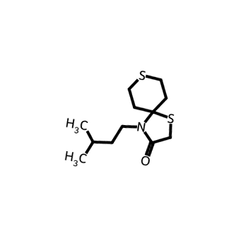 CC(C)CCN1C(=O)CSC12CCSCC2